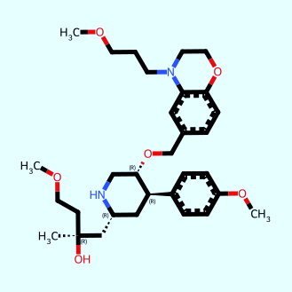 COCCCN1CCOc2ccc(CO[C@H]3CN[C@@H](C[C@@](C)(O)CCOC)C[C@@H]3c3ccc(OC)cc3)cc21